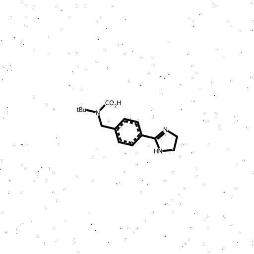 CC(C)(C)N(Cc1ccc(C2=NCCN2)cc1)C(=O)O